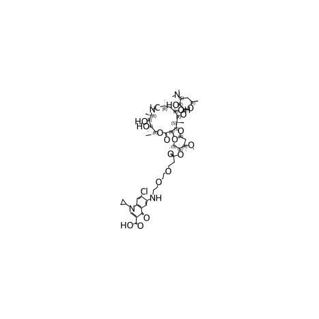 CC[C@H]1OC(=O)[C@H](C)[C@@H](O[C@H]2C[C@@](C)(OC)[C@@H](OC(=O)CCOCCOCCNc3cc4c(=O)c(C(=O)O)cn(C5CC5)c4cc3Cl)[C@H](C)O2)[C@H](C)[C@@H](O[C@@H]2O[C@H](C)C[C@H](N(C)C)[C@H]2O)[C@](C)(O)C[C@@H](C)CN(C)[C@H](C)[C@@H](O)[C@]1(C)O